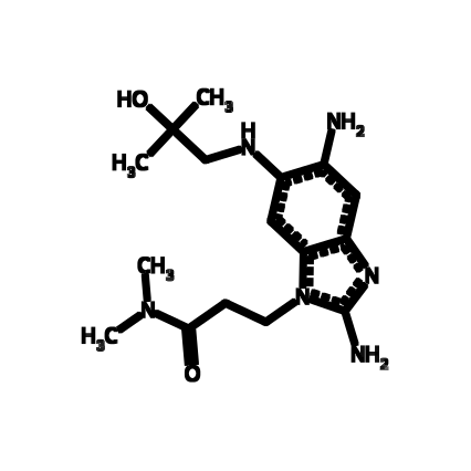 CN(C)C(=O)CCn1c(N)nc2cc(N)c(NCC(C)(C)O)cc21